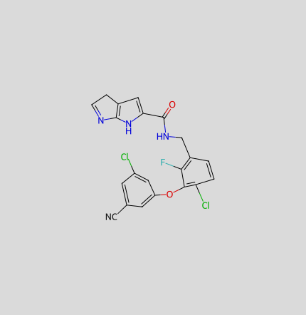 N#Cc1cc(Cl)cc(Oc2c(Cl)ccc(CNC(=O)c3cc4c([nH]3)N=CC4)c2F)c1